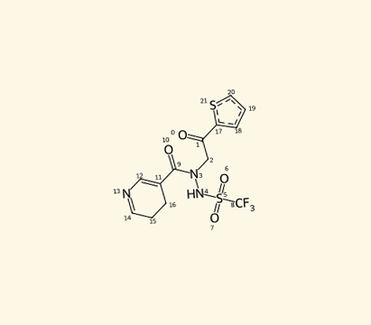 O=C(CN(NS(=O)(=O)C(F)(F)F)C(=O)C1=CN=CCC1)c1cccs1